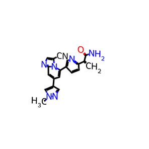 C=C(C(N)=O)c1ccc(-c2cc(-c3cnn(C)c3)cc3ncc(C#N)n23)cn1